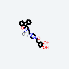 O=C(Cc1ccc(O)c(O)c1)N1CCN(CCCCC2(C(=O)NCC(F)(F)F)c3ccccc3-c3ccccc32)CC1